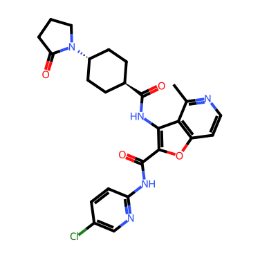 Cc1nccc2oc(C(=O)Nc3ccc(Cl)cn3)c(NC(=O)[C@H]3CC[C@H](N4CCCC4=O)CC3)c12